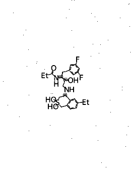 CCC(=O)N[C@@H](Cc1cc(F)cc(F)c1)[C@@H](O)CN[C@H]1CS(O)(O)Cc2ccc(CC)cc21